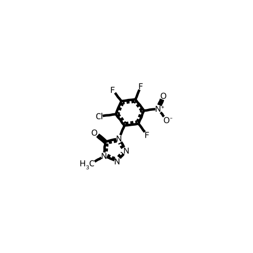 Cn1nnn(-c2c(F)c([N+](=O)[O-])c(F)c(F)c2Cl)c1=O